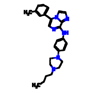 CCCCN1CCN(c2ccc(Nc3ncc(-c4cccc(C)c4)n4ccnc34)cc2)CC1